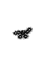 C[Si]1(C)C(N2C=Cc3ccccc3C2)=C(c2ccccc2)C(c2ccccc2)=C1N1C=Cc2ccccc2C1